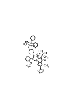 COc1ccccc1[C@H](Cn1c(=O)n(C(C)(C)C(=O)O)c(=O)c2c(C)c(-c3ncco3)sc21)OC1CCC(CC(C)(C)[Si](O)(c2ccccc2)c2ccccc2)CC1